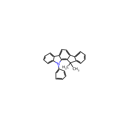 CC1(C)c2ccccc2-c2ccc3c4ccccc4n(-c4ccccc4)c3c21